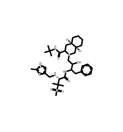 Cc1nc(CN[C@H](C(=O)NC(Cc2ccccc2)C(O)CN2C[C@H]3CCCC[C@H]3CC2C(=O)NC(C)(C)C)C(C)(C)S(C)(=O)=O)c[nH]1